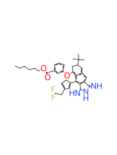 CCCCCCOC(=O)c1cccc(OC2=c3c(C4=CC(CC(F)F)=CC4)c4c(cc3=CC(C(C)(C)C)C2)C(=N)NC4=N)c1